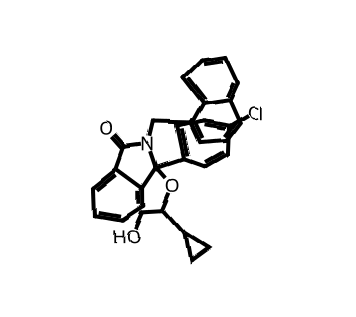 O=C1c2ccccc2C(OC(CO)C2CC2)(c2ccc(Cl)cc2)N1Cc1cccc2ccccc12